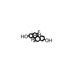 C[C@@H]1Cc2cc(O)ccc2[C@H]2C(F)C[C@]3(C)C[C@@H](O)C[C@H]3[C@H]12